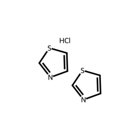 Cl.c1cscn1.c1cscn1